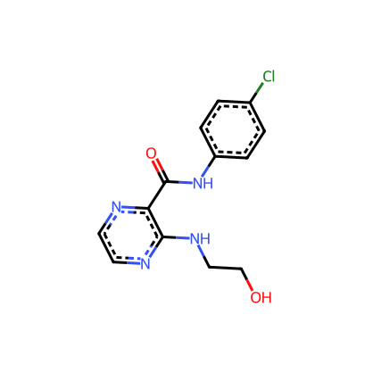 O=C(Nc1ccc(Cl)cc1)c1nccnc1NCCO